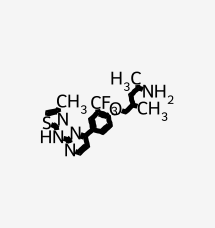 Cc1csc(Nc2nccc(-c3ccc(OCC(C)CC(C)N)c(C(F)(F)F)c3)n2)n1